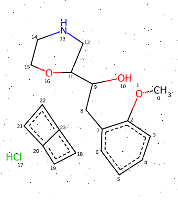 COc1ccccc1CC(O)C1CNCCO1.Cl.c1cc2ccc1-2